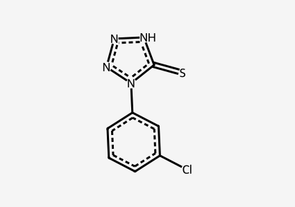 S=c1[nH]nnn1-c1cccc(Cl)c1